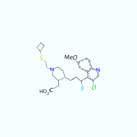 COc1ccc2ncc(Cl)c(C(F)CCC3CCN(CCSC4CCC4)CC3CC(=O)O)c2c1